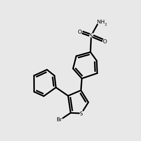 NS(=O)(=O)c1ccc(-c2csc(Br)c2-c2ccccc2)cc1